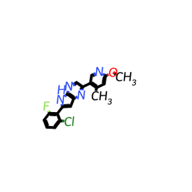 COc1cc(C)c(-c2cnc3[nH]c(-c4c(F)cccc4Cl)cc3n2)cn1